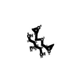 C(OCC1CO1)C1CO1.OCCCCO.P